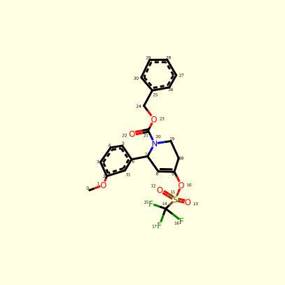 COc1cccc(C2C=C(OS(=O)(=O)C(F)(F)F)CCN2C(=O)OCc2ccccc2)c1